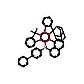 CC1(C)c2ccccc2-c2c(N(c3ccc(-c4ccccc4)cc3)c3cccc4cccc(-c5cccc6c5C5(c7ccccc7-6)C6CC7CC(C6)CC5C7)c34)cccc21